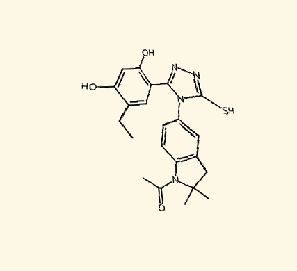 CCc1cc(-c2nnc(S)n2-c2ccc3c(c2)CC(C)(C)N3C(C)=O)c(O)cc1O